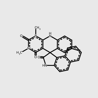 Cn1c2c(c(=O)n(C)c1=O)C1(C(=O)Nc3ccc4ccccc4c31)c1cc(F)ccc1N2